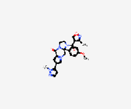 COc1ccc(C23Cn4cc(-c5ccnn5C)cc4C(=O)N2CCN3C(=O)c2conc2C)cc1